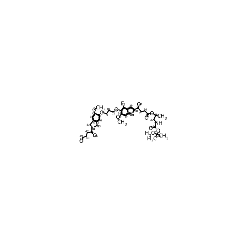 COc1cc2c(cc1OCCCOc1c(OC)cc3sc(C(=O)CCC(=O)OC(C)CNC(=O)OC(C)(C)C)cc3c1F)CN(C(=O)CCC=O)C2